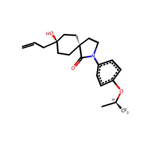 C=CC[C@]1(O)CC[C@@]2(CCN(c3ccc(O[C@H](C)C(F)(F)F)cc3)C2=O)CC1